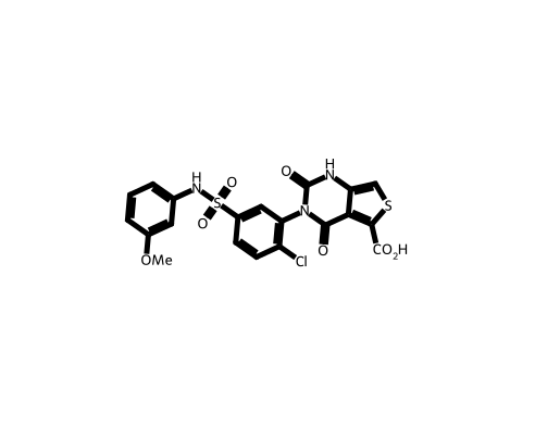 COc1cccc(NS(=O)(=O)c2ccc(Cl)c(-n3c(=O)[nH]c4csc(C(=O)O)c4c3=O)c2)c1